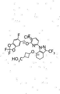 C[C@H](Oc1nc(-n2nc(C(F)(F)F)c3c2[C@@H](OC2CC(C(=O)O)C2)CCC3)ccc1F)c1cc2c(cc1F)OC(F)(F)O2